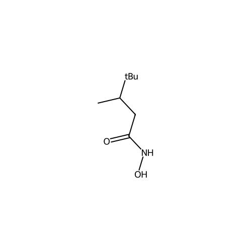 CC(CC(=O)NO)C(C)(C)C